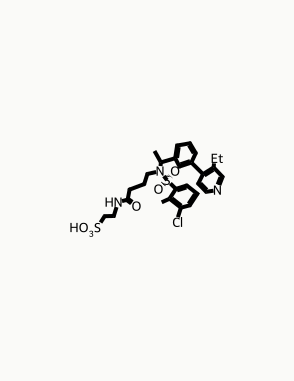 CCc1cnccc1-c1cccc(C(C)N(CCCC(=O)NCCS(=O)(=O)O)S(=O)(=O)c2cccc(Cl)c2C)c1